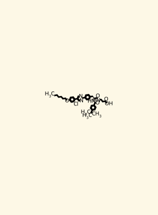 CCCCCCCOc1ccc(-c2cnc(-c3ccc(C[C@H](NC(=O)c4ccc(C(C)(C)C)cc4)C(=O)NCCC(=O)O)cc3)nc2)c(Cl)c1